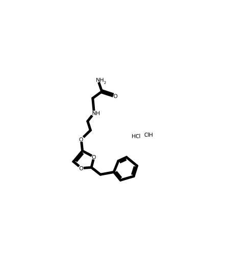 Cl.Cl.NC(=O)CNCCOC1=COC(Cc2ccccc2)O1